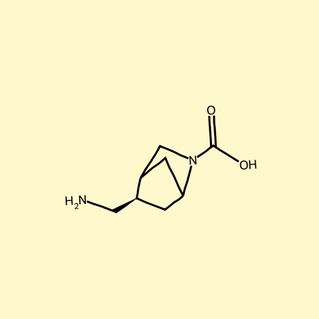 NC[C@@H]1CC2CC1CN2C(=O)O